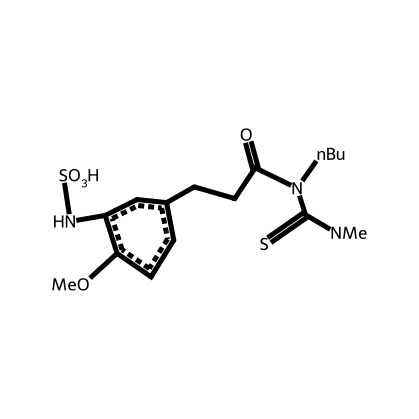 CCCCN(C(=O)CCc1ccc(OC)c(NS(=O)(=O)O)c1)C(=S)NC